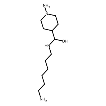 NCCCCCCNC(O)C1CCN(N)CC1